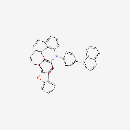 c1ccc2c(-c3ccc(N(c4ccc5oc6ccccc6c5c4)c4cccc5ccc6ccc7ccccc7c6c45)cc3)cccc2c1